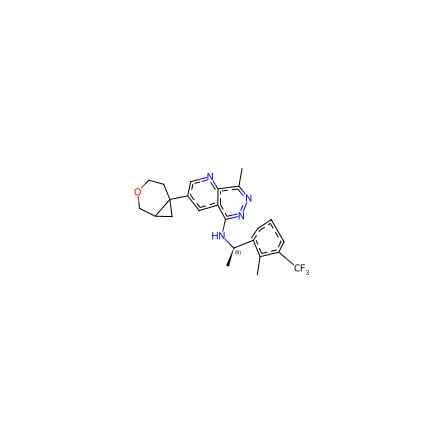 Cc1c([C@@H](C)Nc2nnc(C)c3ncc(C45CCOCC4C5)cc23)cccc1C(F)(F)F